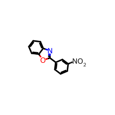 O=[N+]([O-])c1cccc(-c2nc3ccccc3o2)c1